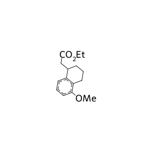 CCOC(=O)CC1CCCc2c(OC)cccc21